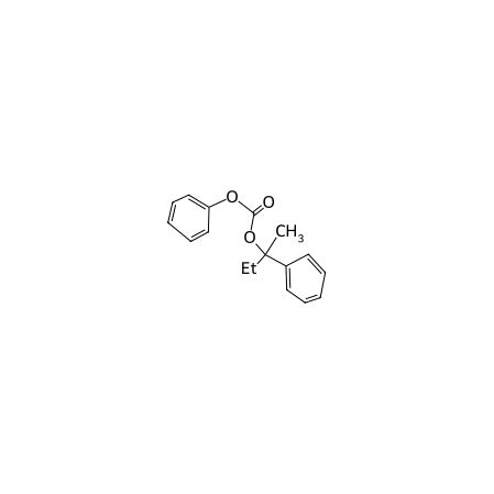 CCC(C)(OC(=O)Oc1ccccc1)c1ccccc1